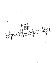 O=C(COc1ccc(C(=O)N[C@H]2CC[C@H](CCN3[C@@H]4CC[C@H]3c3ccccc34)CC2)cc1)N[C@H]1CC[C@H](CCN2[C@@H]3CC[C@H]2c2ccccc23)CC1.O=C(O)C(F)(F)F